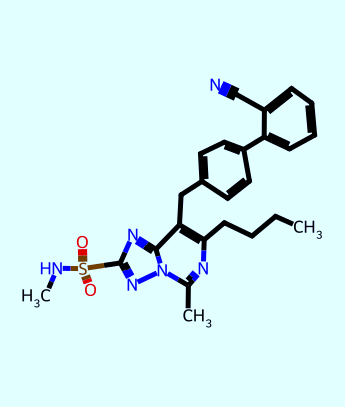 CCCCc1nc(C)n2nc(S(=O)(=O)NC)nc2c1Cc1ccc(-c2ccccc2C#N)cc1